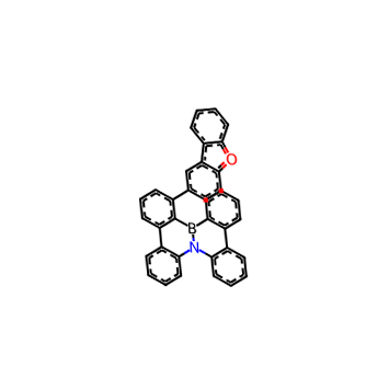 c1ccc2c(c1)B1c3c(-c4ccc5oc6ccccc6c5c4)cccc3-c3ccccc3N1c1ccccc1-2